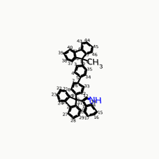 CC1(c2ccc(-c3ccc(C4(c5c[nH]c6ccccc56)c5ccccc5-c5ccccc54)cc3)cc2)c2ccccc2-c2ccccc21